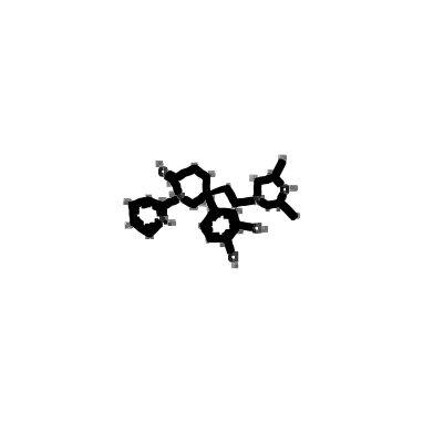 CC1CN(CC[C@]2(c3ccc(Cl)c(Cl)c3)CCC(=O)N(c3ccccn3)C2)CC(C)O1